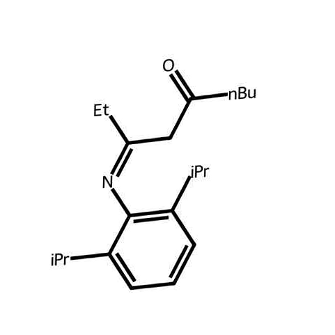 CCCCC(=O)CC(CC)=Nc1c(C(C)C)cccc1C(C)C